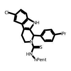 CCCCCNC(=S)N1CCc2c([nH]c3ccc(Cl)cc23)C1c1ccc(C(C)C)cc1